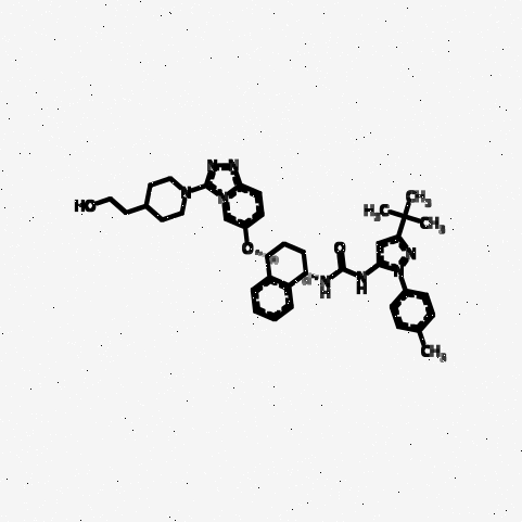 Cc1ccc(-n2nc(C(C)(C)C)cc2NC(=O)N[C@H]2CC[C@@H](Oc3ccc4nnc(N5CCC(CCO)CC5)n4c3)c3ccccc32)cc1